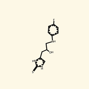 OC(CNc1ccc(F)cc1)Cc1c[nH]c(=S)[nH]1